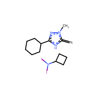 Cn1nc(C2CCCCC2)[nH][c]1=[Pt].IN(I)C1CCC1